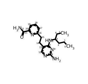 CCCC(CC)Nc1nc(N)ncc1CCc1cccc(C(N)=O)n1